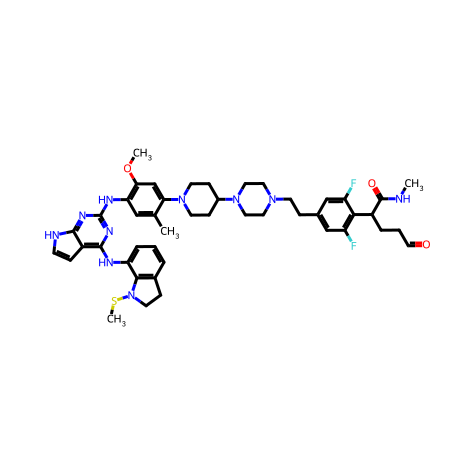 CNC(=O)C(CCC=O)c1c(F)cc(CCN2CCN(C3CCN(c4cc(OC)c(Nc5nc(Nc6cccc7c6N(SC)CC7)c6cc[nH]c6n5)cc4C)CC3)CC2)cc1F